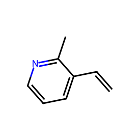 C=Cc1cccnc1C